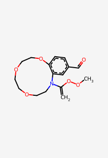 C=C(OOC)N1CCOCCOCCOc2ccc(C=O)cc21